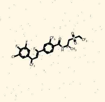 C[C@H](CS(=O)(=O)CC(F)(F)F)NC(=O)c1ccc(/C(F)=C/C(c2cc(F)c(F)c(Cl)c2)C(F)(F)F)cc1C(F)(F)F